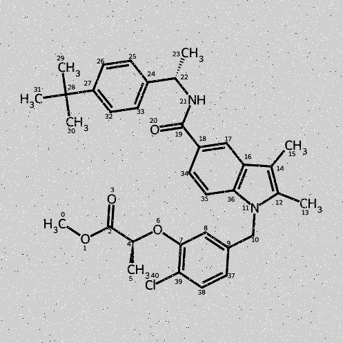 COC(=O)[C@H](C)Oc1cc(Cn2c(C)c(C)c3cc(C(=O)N[C@@H](C)c4ccc(C(C)(C)C)cc4)ccc32)ccc1Cl